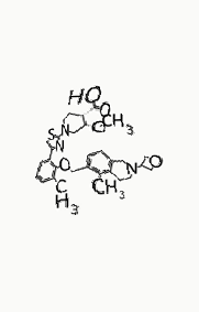 CO[C@@H]1CN(c2nc(-c3cccc(C)c3OCc3ccc4c(c3C)CCN(C3COC3)C4)cs2)CC[C@@H]1C(=O)O